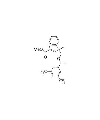 COC(=O)/C(C)=C/[C@@](C)(CO[C@H](C)c1cc(C(F)(F)F)cc(C(F)(F)F)c1)c1ccccc1